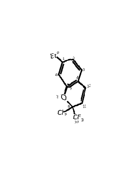 CCc1ccc2c(c1)OC(Cl)(C(F)(F)F)C=C2